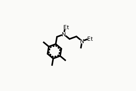 CCN(C)CCN(CC)Cc1cc(C)c(C)cc1C